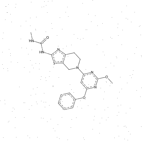 CNC(=O)Nc1nc2c(s1)CN(c1cc(Oc3ccccc3)nc(OC)n1)CC2